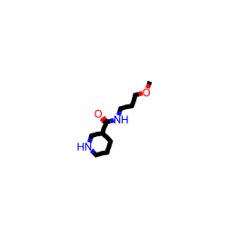 COCCCNC(=O)C1CCCNC1